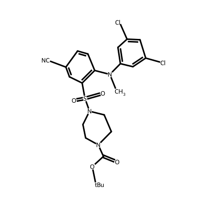 CN(c1cc(Cl)cc(Cl)c1)c1ccc(C#N)cc1S(=O)(=O)N1CCN(C(=O)OC(C)(C)C)CC1